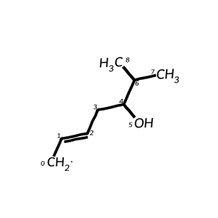 [CH2]C=CCC(O)C(C)C